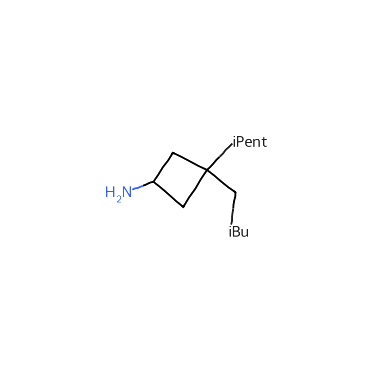 CCCC(C)C1(CC(C)CC)CC(N)C1